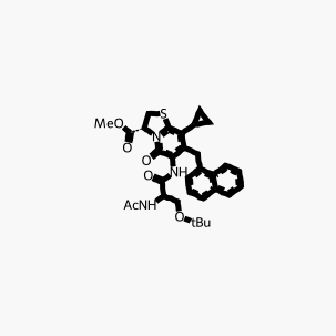 COC(=O)[C@@H]1CSc2c(C3CC3)c(Cc3cccc4ccccc34)c(NC(=O)C(COC(C)(C)C)NC(C)=O)c(=O)n21